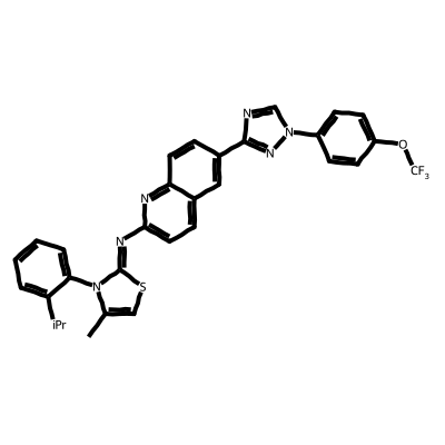 Cc1cs/c(=N\c2ccc3cc(-c4ncn(-c5ccc(OC(F)(F)F)cc5)n4)ccc3n2)n1-c1ccccc1C(C)C